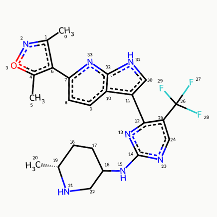 Cc1noc(C)c1-c1ccc2c(-c3nc(NC4CC[C@@H](C)NC4)ncc3C(F)(F)F)c[nH]c2n1